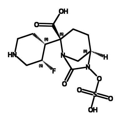 O=C1N(OS(=O)(=O)O)[C@@H]2CC[C@@](C(=O)O)([C@H]3CCNC[C@H]3F)N1C2